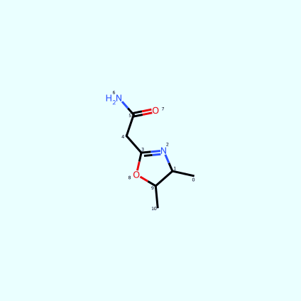 CC1N=C(CC(N)=O)OC1C